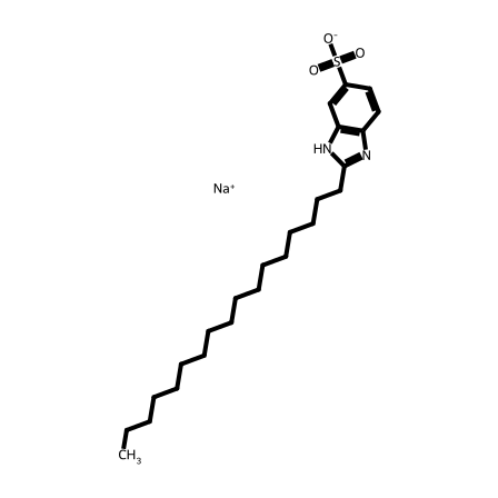 CCCCCCCCCCCCCCCCCc1nc2ccc(S(=O)(=O)[O-])cc2[nH]1.[Na+]